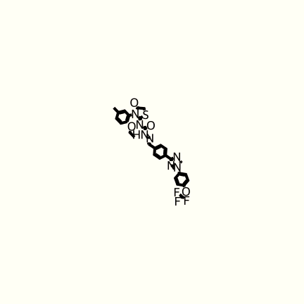 CCOc1ccc(C)cc1N1C(=O)CS/C1=N\C(=O)N/N=C/c1ccc(-c2ncn(-c3ccc(OC(F)(F)F)cc3)n2)cc1